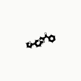 O=C(c1ccccc1)c1cn2cc(-c3ccco3)ccc2n1